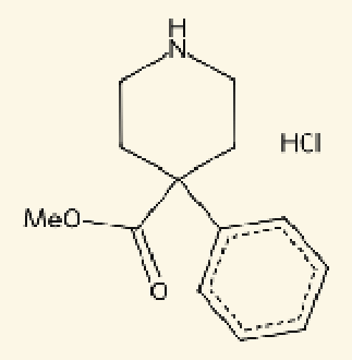 COC(=O)C1(c2ccccc2)CCNCC1.Cl